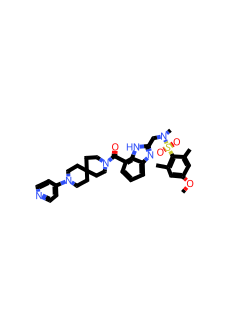 COc1cc(C)c(S(=O)(=O)N(C)Cc2nc3cccc(C(=O)N4CCC5(CC4)CCN(c4ccncc4)CC5)c3[nH]2)c(C)c1